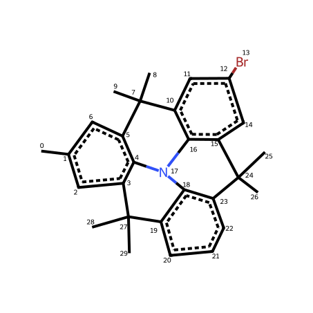 Cc1cc2c3c(c1)C(C)(C)c1cc(Br)cc4c1N3c1c(cccc1C4(C)C)C2(C)C